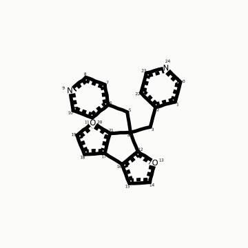 c1cc(CC2(Cc3ccncc3)c3occc3-c3ccoc32)ccn1